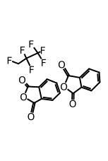 FCC(F)(F)C(F)(F)F.O=C1OC(=O)c2ccccc21.O=C1OC(=O)c2ccccc21